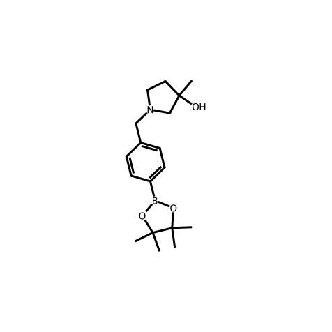 CC1(O)CCN(Cc2ccc(B3OC(C)(C)C(C)(C)O3)cc2)C1